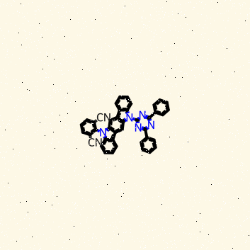 N#Cc1cccc(C#N)c1-n1c2ccccc2c2cc3c(cc21)c1ccccc1n3-c1nc(-c2ccccc2)nc(-c2ccccc2)n1